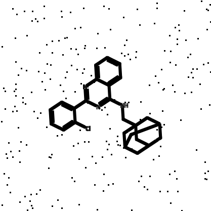 Clc1ccccc1-c1nc(NCC23CC4CC(CC(C4)C2)C3)c2ccccc2n1